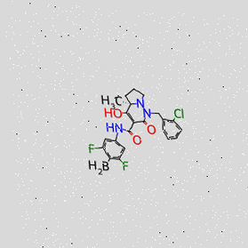 Bc1c(F)cc(NC(=O)C2=C(O)[C@@]3(C)CCCN3N(Cc3ccccc3Cl)C2=O)cc1F